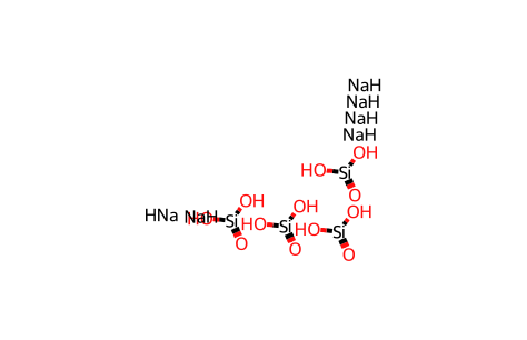 O=[Si](O)O.O=[Si](O)O.O=[Si](O)O.O=[Si](O)O.[NaH].[NaH].[NaH].[NaH].[NaH].[NaH]